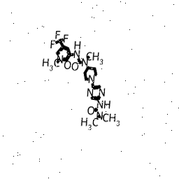 CN(C)C(=O)Nc1cnc(N2CCC(N(C)C(=O)Nc3cc(C(F)(F)F)cn(C)c3=O)CC2)cn1